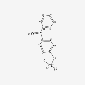 CC[N+](C)(C)Cc1ccc(C(=O)c2ccccc2)cc1